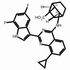 O=C(O)[C@H]1C2CCC(CC2)[C@@H]1Nc1nc(-c2c[nH]c3c(F)cc(F)cc23)nc2c(C3CC3)cccc12